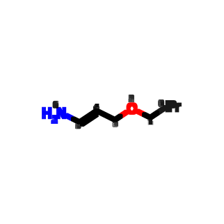 CC(C)COCC=CN